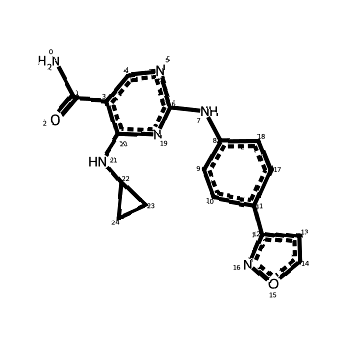 NC(=O)c1cnc(Nc2ccc(-c3ccon3)cc2)nc1NC1CC1